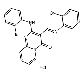 Cl.O=c1c(C=Nc2ccccc2Br)c(Nc2ccccc2Br)nc2ccccn12